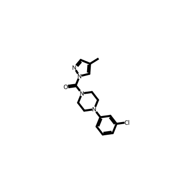 Cc1cnn(C(=O)N2CCN(c3cccc(Cl)c3)CC2)c1